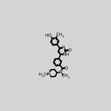 Cc1cc(-c2cc(-c3cccc(C(=O)N(C)C4CCN(C)CC4)c3)[nH]c(=O)n2)ccc1O